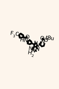 CC(C)(C)OC(=O)N1CCC[C@@H](n2nc(-c3ccc(NC(=O)c4ccc(C(F)(F)F)cc4)cc3)c3c(N)ncnc32)C1